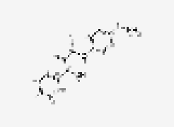 C=C(C(=O)Oc1ccc(CN)cc1)C(O)c1cccnc1